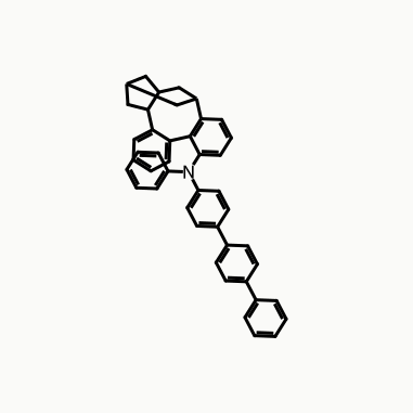 c1ccc(-c2ccc(-c3ccc(N(c4ccccc4)c4cccc5c4-c4ccccc4C4CC6CC5CC4C6)cc3)cc2)cc1